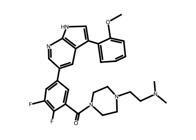 COc1ccccc1-c1c[nH]c2ncc(-c3cc(F)c(F)c(C(=O)N4CCN(CCN(C)C)CC4)c3)cc12